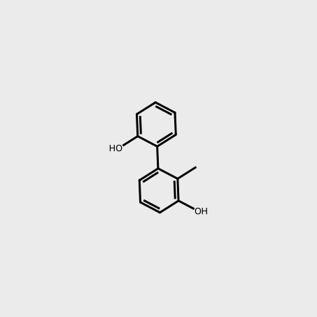 Cc1c(O)cccc1-c1ccccc1O